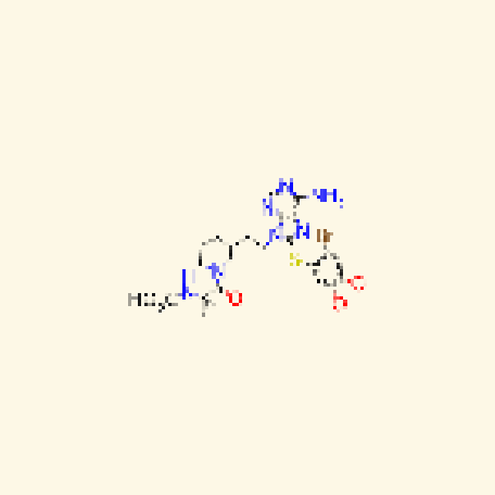 C[C@H](NC(=O)O)C(=O)N1CCCC(CCn2c(Sc3cc4c(cc3Br)OCO4)nc3c(N)ncnc32)C1